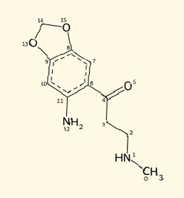 CNCCC(=O)c1cc2c(cc1N)OCO2